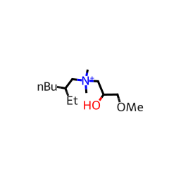 CCCCC(CC)C[N+](C)(C)CC(O)COC